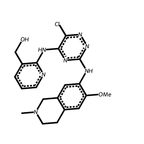 COc1cc2c(cc1Nc1nnc(Cl)c(Nc3ncccc3CO)n1)CN(C)CC2